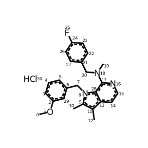 COc1cccc(Cn2c(C)c(C)c3ccnc(N(C)Cc4ccc(F)cc4)c32)c1.Cl